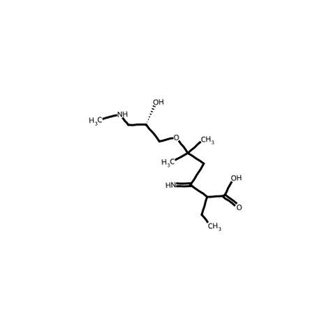 CCC(C(=N)CC(C)(C)OC[C@@H](O)CNC)C(=O)O